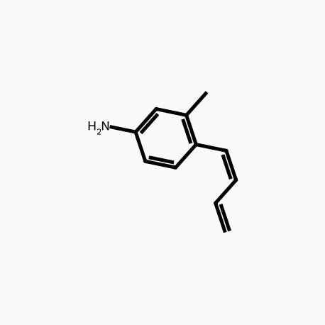 C=C/C=C\c1ccc(N)cc1C